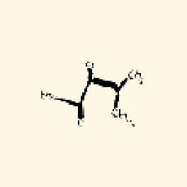 CCC(C(=O)S)=C(C)C